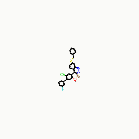 COc1cc(-c2cccc(F)c2)c(Cl)cc1-c1c(Br)nnc2cc(SCc3ccccc3)ccc12